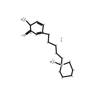 CC1C=CC(CCCCC[N+]2(C)CCCCC2)=CC1=O.[I-]